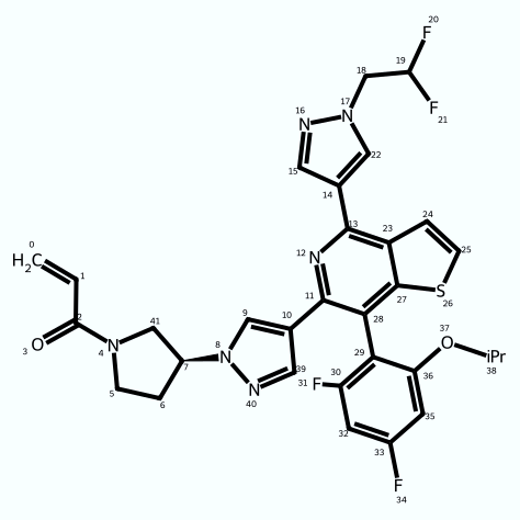 C=CC(=O)N1CC[C@H](n2cc(-c3nc(-c4cnn(CC(F)F)c4)c4ccsc4c3-c3c(F)cc(F)cc3OC(C)C)cn2)C1